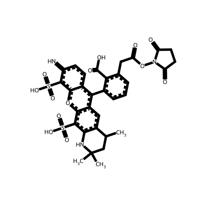 CC1CC(C)(C)Nc2c1cc1c(-c3cccc(CC(=O)ON4C(=O)CCC4=O)c3C(=O)O)c3ccc(=N)c(S(=O)(=O)O)c-3oc1c2S(=O)(=O)O